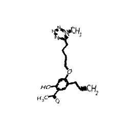 C=CCc1cc(C(C)=O)c(O)cc1OCCCCc1nnnn1C